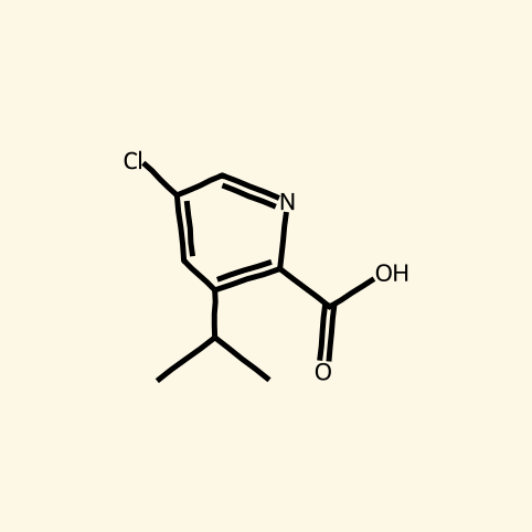 CC(C)c1cc(Cl)cnc1C(=O)O